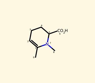 CC1=CCCC(C(=O)O)N1C